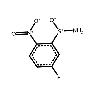 N[S+]([O-])c1cc(F)ccc1[N+](=O)[O-]